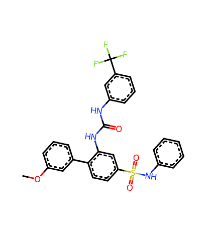 COc1cccc(-c2ccc(S(=O)(=O)Nc3ccccc3)cc2NC(=O)Nc2cccc(C(F)(F)F)c2)c1